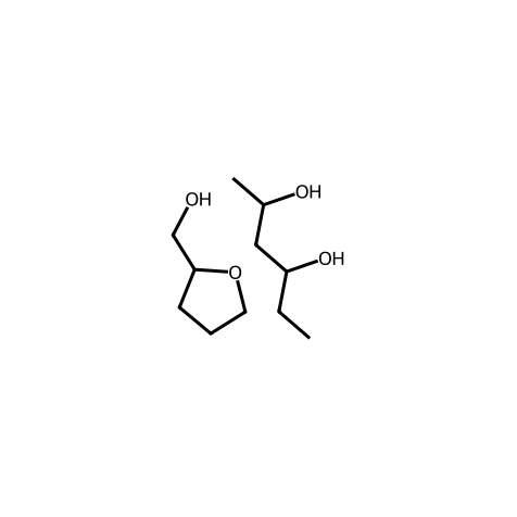 CCC(O)CC(C)O.OCC1CCCO1